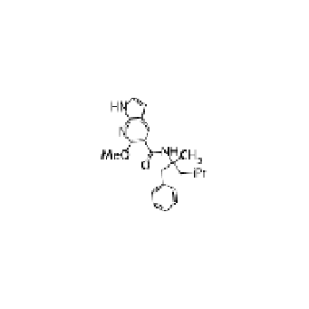 COc1nc2[nH]ccc2cc1C(=O)NC(C)(Cc1ccccc1)CC(C)C